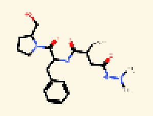 CCCCCC(CC(=O)NN(C)C)C(=O)NC(Cc1ccccc1)C(=O)N1CCCC1CO